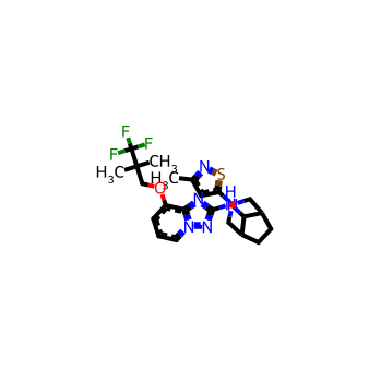 Cc1cc(N2CC3CCC(C2)C3Nc2nc3c(OCC(C)(C)C(F)(F)F)cccn3n2)sn1